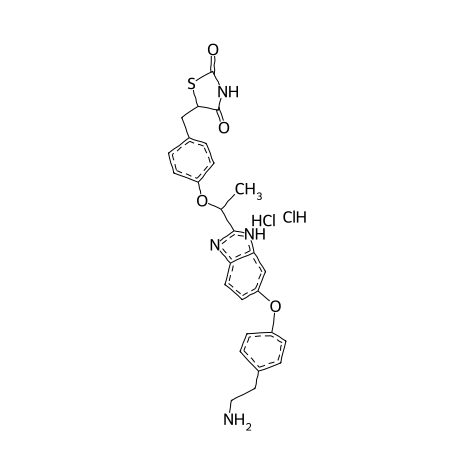 CC(Oc1ccc(CC2SC(=O)NC2=O)cc1)c1nc2ccc(Oc3ccc(CCN)cc3)cc2[nH]1.Cl.Cl